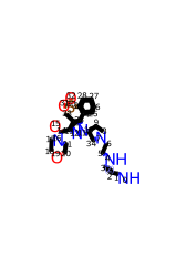 N=C/C=C\NCCN1CCC(n2nc(C(=O)N3CCOCC3)c3c2-c2ccccc2S(=O)(=O)C3)C1